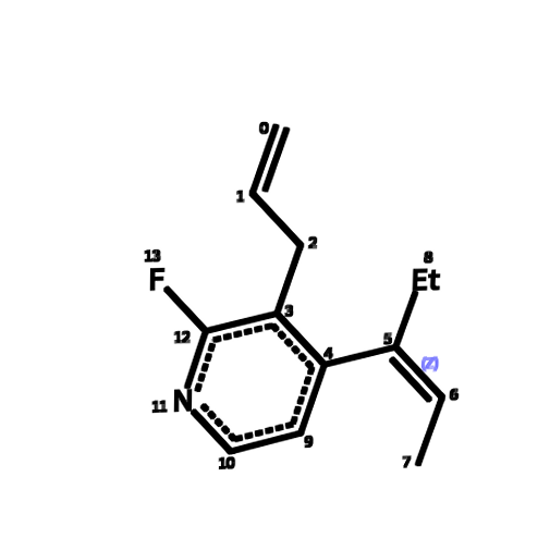 C=CCc1c(/C(=C\C)CC)ccnc1F